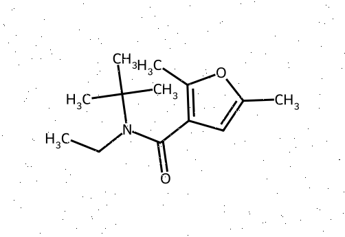 CCN(C(=O)c1cc(C)oc1C)C(C)(C)C